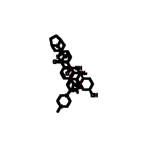 C[C@H](NC(=O)c1ccc(N2C3CCC2CC(NC(=O)c2ccc(C(N)=O)c(N[C@H]4CC[C@H](O)CC4)c2)C3)nc1)c1ccc(N2CCN(C)CC2)cc1